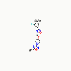 CSc1ccc(-c2noc([C@@H](C)OC3CCN(c4noc(C(C)C)n4)CC3)n2)cc1F